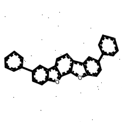 c1ccc(-c2ccc3oc4c(ccc5c6cc(-c7ccccc7)ccc6oc54)c3c2)cc1